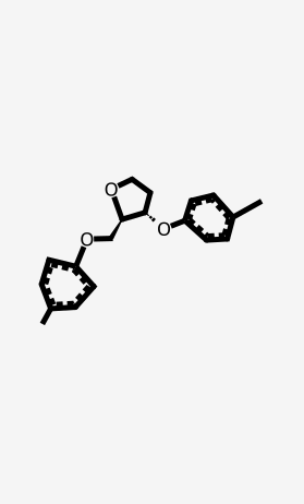 Cc1ccc(OC[C@H]2OCC[C@@H]2Oc2ccc(C)cc2)cc1